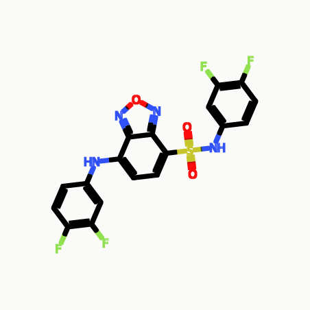 O=S(=O)(Nc1ccc(F)c(F)c1)c1ccc(Nc2ccc(F)c(F)c2)c2nonc12